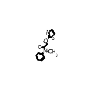 CN(C(=O)COc1nccs1)c1ccccc1